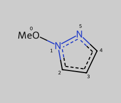 [CH2]On1cccn1